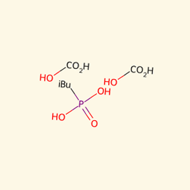 CCC(C)P(=O)(O)O.O=C(O)O.O=C(O)O